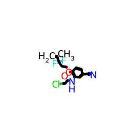 C=C(C)C(F)(F)CCOc1ccc(C#N)cc1NC(=O)CCl